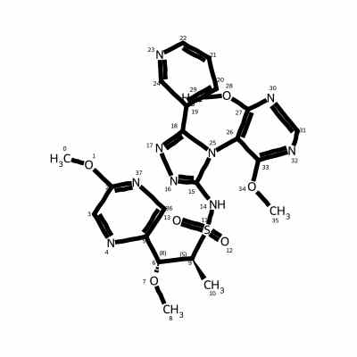 COc1cnc([C@@H](OC)[C@H](C)S(=O)(=O)Nc2nnc(-c3cccnc3)n2-c2c(OC)ncnc2OC)cn1